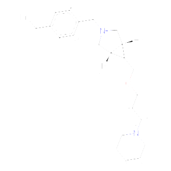 CC(C)Cc1ccc(CN2C[C@@H]3C(COCCCN4CCCCC4)[C@@H]3C2)cc1